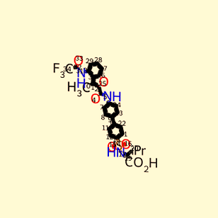 Cc1c(C(=O)Nc2ccc(-c3ccc(S(=O)(=O)N[C@H](C(=O)O)C(C)C)cc3)cc2)oc2cccc(NC(=O)C(F)(F)F)c12